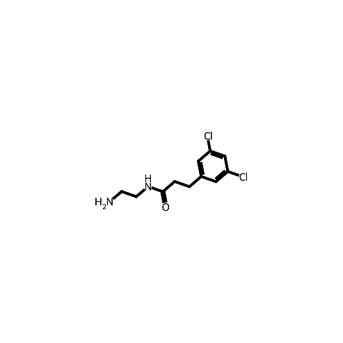 NCCNC(=O)CCc1cc(Cl)cc(Cl)c1